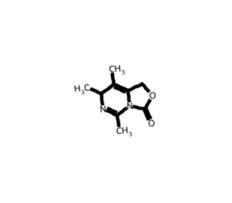 CC1=NC(C)C(C)=C2COC(=O)N12